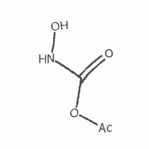 CC(=O)OC(=O)NO